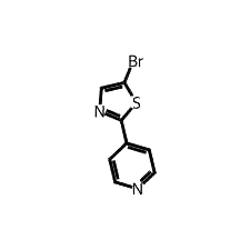 Brc1cnc(-c2ccncc2)s1